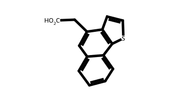 O=C(O)Cc1cc2ccccc2c2sccc12